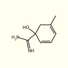 CC1=CC=CC(O)(C(=N)N)C1